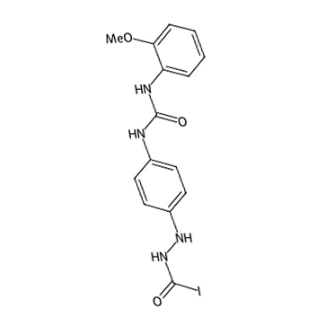 COc1ccccc1NC(=O)Nc1ccc(NNC(=O)I)cc1